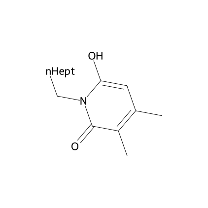 CCCCCCCCn1c(O)cc(C)c(C)c1=O